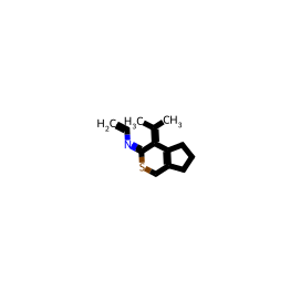 C=C/N=C1/SCC2=C(CCC2)C1=C(C)C